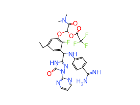 CCc1cc(OC(OC(=O)C(F)(F)F)C(=O)N(C)C)c(F)c(C(Nc2ccc(C(=N)N)cc2)c2nn(-c3ncccn3)c(=O)[nH]2)c1